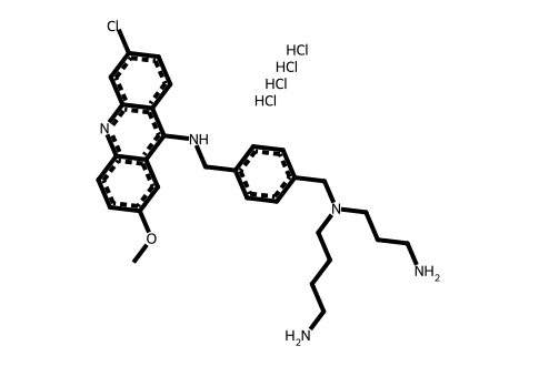 COc1ccc2nc3cc(Cl)ccc3c(NCc3ccc(CN(CCCN)CCCCN)cc3)c2c1.Cl.Cl.Cl.Cl